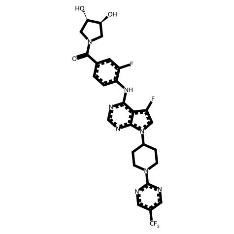 O=C(c1ccc(Nc2ncnc3c2c(F)cn3C2CCN(c3ncc(C(F)(F)F)cn3)CC2)c(F)c1)N1C[C@H](O)[C@@H](O)C1